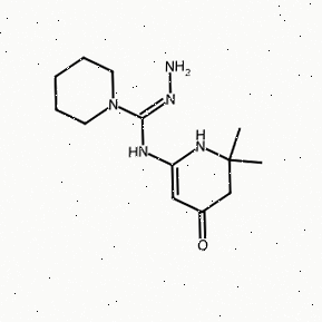 CC1(C)CC(=O)C=C(NC(=NN)N2CCCCC2)N1